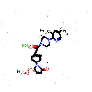 COC[C@H]1CCC(=O)N1c1ccc(C(=O)N2CCN(c3ncc(C)cc3C)CC2)cc1.Cl